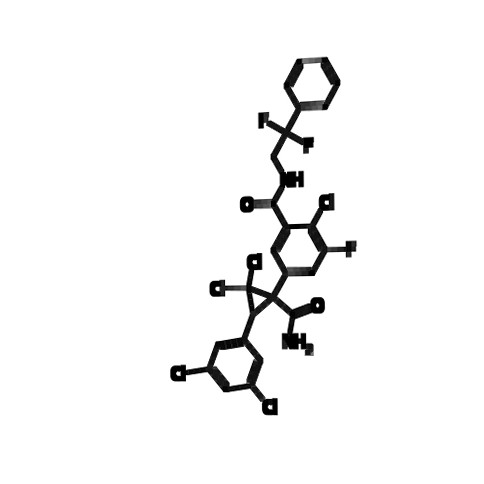 NC(=O)C1(c2cc(F)c(Cl)c(C(=O)NCC(F)(F)c3ccccc3)c2)C(c2cc(Cl)cc(Cl)c2)C1(Cl)Cl